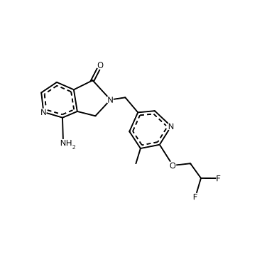 Cc1cc(CN2Cc3c(ccnc3N)C2=O)cnc1OCC(F)F